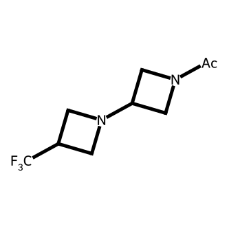 CC(=O)N1CC(N2CC(C(F)(F)F)C2)C1